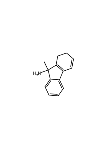 CC1(N)C2=C(C=CCC2)c2ccccc21